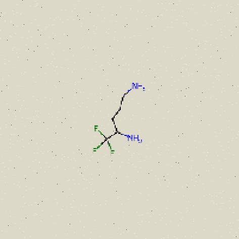 NCCCC(N)C(F)(F)F